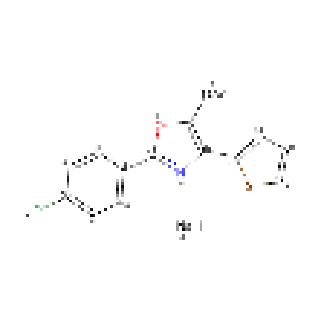 CC(=O)Oc1oc(-c2ccc(F)cc2)nc1-c1cccs1.[NaH]